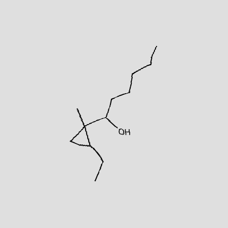 CCCCCC(O)C1(C)CC1CC